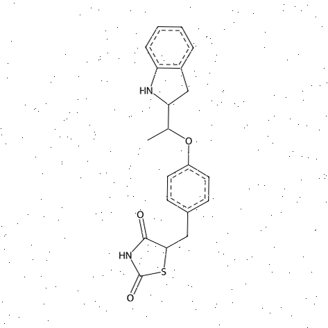 CC(Oc1ccc(CC2SC(=O)NC2=O)cc1)C1Cc2ccccc2N1